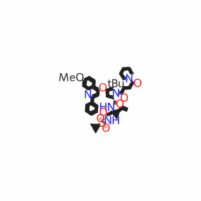 C=CC1CC1(NC(=O)[C@@H]1C[C@@H](Oc2cc(-c3ccccc3)nc3cc(OC)ccc23)CN1C(=O)[C@@H](CC(=O)N1CCCCC1)C(C)(C)C)C(=O)NS(=O)(=O)C1CC1